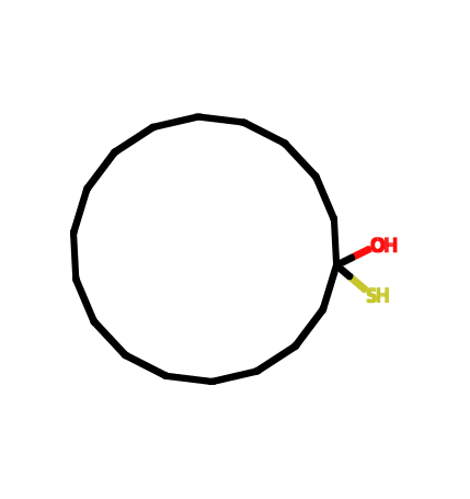 OC1(S)CCCCCCCCCCCCCCCCC1